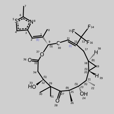 C/C(=C\c1csc(C)n1)[C@@H]1C/C=C(/C(F)(F)F)C[C@H]2C[C@@H]2[C@H](C)[C@H](O)[C@@H](C)C(=O)C(C)(C)[C@@H](O)CC(=O)O1